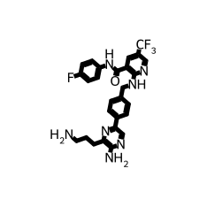 NCCCc1nc(-c2ccc(CNc3ncc(C(F)(F)F)cc3C(=O)Nc3ccc(F)cc3)cc2)cnc1N